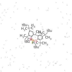 CC1c2cc(C(C)(C)CC(C)(C)C)cc(C(C)(C)CC(C)(C)C)c2OP(F)Oc2c1cc(C(C)(C)CC(C)(C)C)cc2C(C)(C)CC(C)(C)C